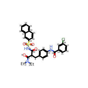 CCN(CC)C(=O)C(Cc1ccc(NC(=O)c2cccc(Cl)c2)cc1)C(=O)NS(=O)(=O)c1ccc2ccccc2c1